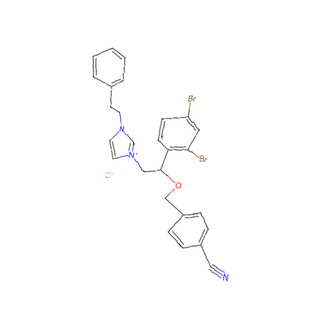 N#Cc1ccc(COC(C[n+]2ccn(CCc3ccccc3)c2)c2ccc(Br)cc2Br)cc1.[Cl-]